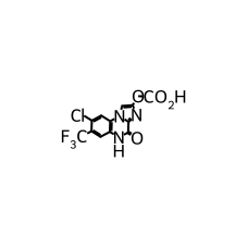 O=C(O)Oc1cn2c(n1)c(=O)[nH]c1cc(C(F)(F)F)c(Cl)cc12